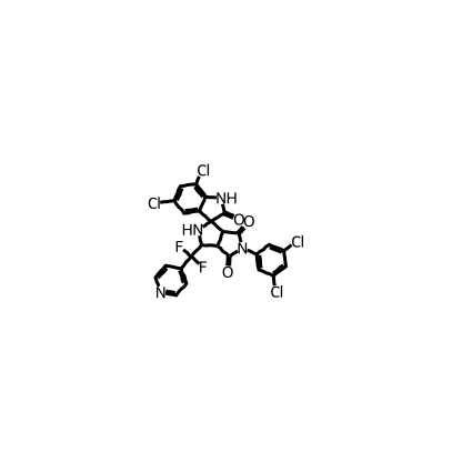 O=C1C2C(C(F)(F)c3ccncc3)NC3(C(=O)Nc4c(Cl)cc(Cl)cc43)C2C(=O)N1c1cc(Cl)cc(Cl)c1